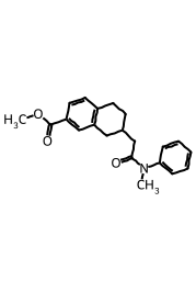 COC(=O)c1ccc2c(c1)CC(CC(=O)N(C)c1ccccc1)CC2